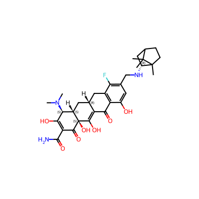 CN(C)[C@@H]1C(O)=C(C(N)=O)C(=O)[C@@]2(O)C(O)=C3C(=O)c4c(O)cc(CN[C@@H]5CC6CCC5(C)C6(C)C)c(F)c4C[C@H]3C[C@@H]12